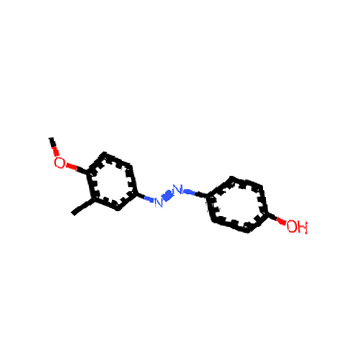 COc1ccc(/N=N/c2ccc(O)cc2)cc1C